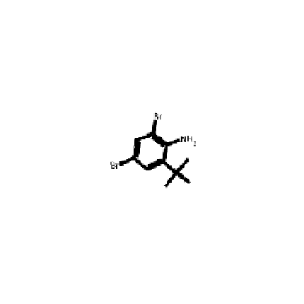 CC(C)(C)c1cc(Br)cc(Br)c1N